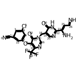 N#Cc1cc(Cl)cc(Oc2c(C(F)(F)F)ncn(Cc3cnc(/C(N)=C/C=N)[nH]c3=O)c2=O)c1